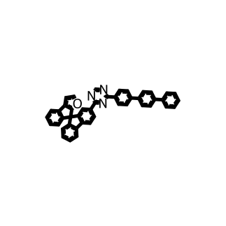 c1ccc(-c2ccc(-c3ccc(-c4ncnc(-c5ccc6c(c5)C5(c7ccccc7-6)c6ccccc6-c6ccoc65)n4)cc3)cc2)cc1